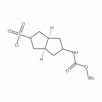 CC(C)(C)OC(=O)NC1C[C@@H]2CN(S(=O)(=O)Cl)C[C@@H]2C1